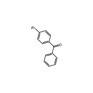 CC(C)c1ccc(C(=O)c2ccccc2)cc1